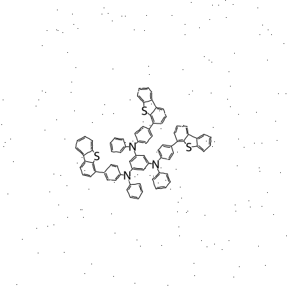 c1ccc(N(c2ccc(-c3cccc4c3sc3ccccc34)cc2)c2cc(N(c3ccccc3)c3ccc(-c4cccc5c4sc4ccccc45)cc3)cc(N(c3ccccc3)c3ccc(-c4cccc5c4sc4ccccc45)cc3)c2)cc1